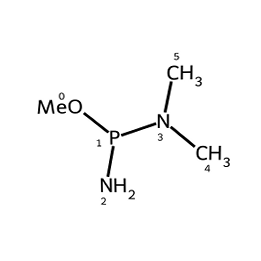 COP(N)N(C)C